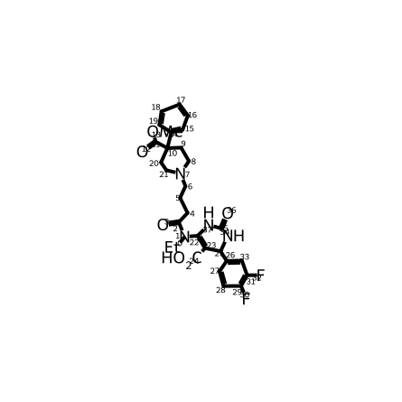 CCN(C(=O)CCCN1CCC(C(=O)OC)(c2ccccc2)CC1)C1=C(C(=O)O)C(c2ccc(F)c(F)c2)NC(=O)N1